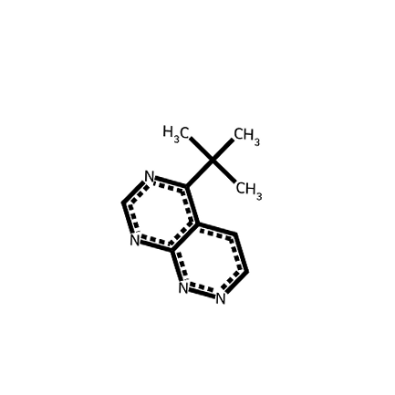 CC(C)(C)c1ncnc2nnccc12